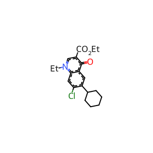 CCOC(=O)c1cn(CC)c2cc(Cl)c(C3CCCCC3)cc2c1=O